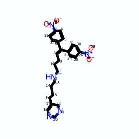 O=[N+]([O-])c1ccc(C(=CCCCNCCCCc2cncnc2)c2ccc([N+](=O)[O-])cc2)cc1